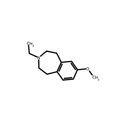 CCN1CCc2ccc(OC)cc2CC1